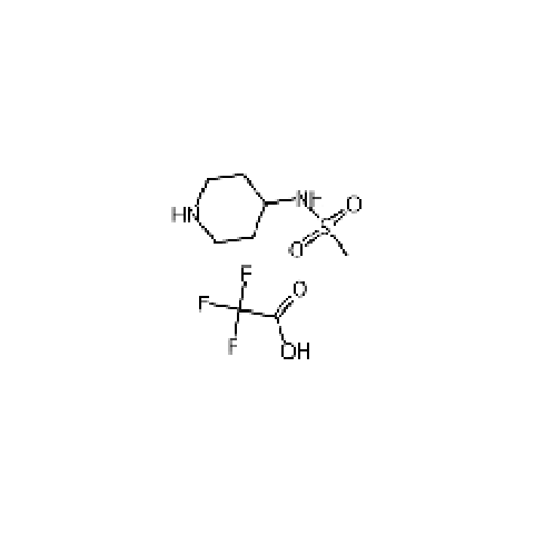 CS(=O)(=O)NC1CCNCC1.O=C(O)C(F)(F)F